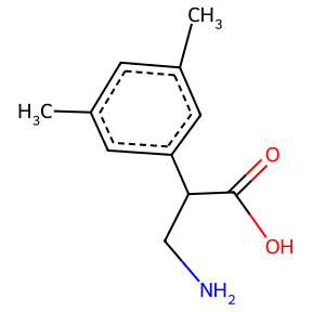 Cc1cc(C)cc(C(CN)C(=O)O)c1